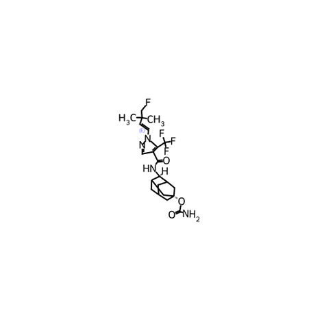 CC(C)(/C=C/n1ncc(C(=O)N[C@H]2C3CC4CC2C[C@](OC(N)=O)(C4)C3)c1C(F)(F)F)CF